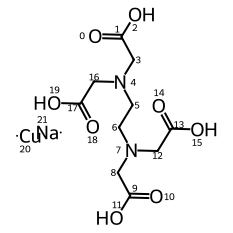 O=C(O)CN(CCN(CC(=O)O)CC(=O)O)CC(=O)O.[Cu].[Na]